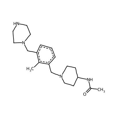 CC(=O)NC1CCN(Cc2cccc(CN3CCNCC3)c2C)CC1